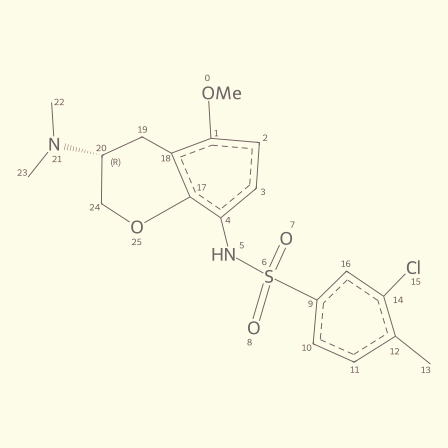 COc1ccc(NS(=O)(=O)c2ccc(C)c(Cl)c2)c2c1C[C@@H](N(C)C)CO2